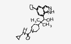 CC(C)(C1CCN(C(=O)NC2CC2)CC1)[C@H](O)c1cc(Cl)cc2cn[nH]c12